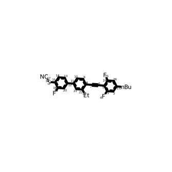 CCCCc1cc(F)c(C#Cc2ccc(-c3ccc(SC#N)c(F)c3)cc2CC)c(F)c1